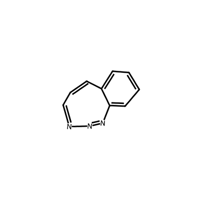 C1=C/c2ccccc2\N=N/N=C\1